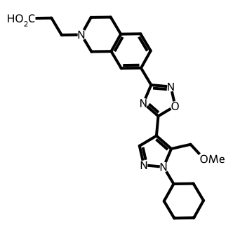 COCc1c(-c2nc(-c3ccc4c(c3)CN(CCC(=O)O)CC4)no2)cnn1C1CCCCC1